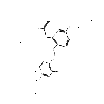 CCC(=O)Nc1cc(F)ccc1COc1ccc(C)cc1C